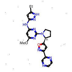 CCc1cc(Nc2cc(OC)nc(N3CCC[C@H]3c3cc(-c4cnccn4)no3)n2)n[nH]1